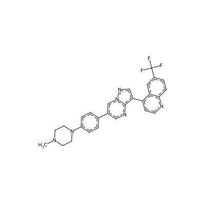 CN1CCN(c2ccc(-c3cnc4c(-c5ccnc6ccc(C(F)(F)F)cc56)cnn4c3)cc2)CC1